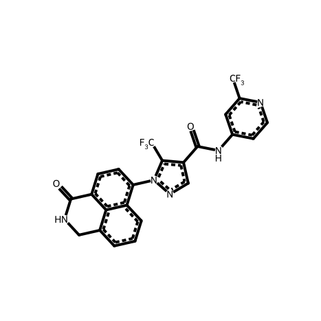 O=C(Nc1ccnc(C(F)(F)F)c1)c1cnn(-c2ccc3c4c(cccc24)CNC3=O)c1C(F)(F)F